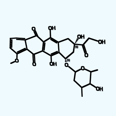 COc1cccc2c1C(=O)c1c(O)c3c(c(O)c1C2=O)C[C@@](O)(C(=O)CO)C[C@@H]3OC1CC(C)C(O)C(C)O1